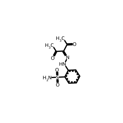 CC(=O)C(=NNc1ccccc1S(N)(=O)=O)C(C)=O